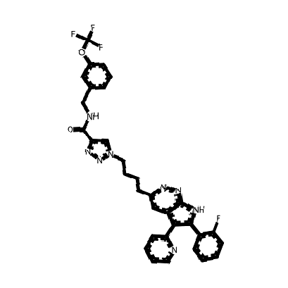 O=C(NCc1cccc(OC(F)(F)F)c1)c1cn(CCCCc2cc3c(-c4ccccn4)c(-c4ccccc4F)[nH]c3nn2)nn1